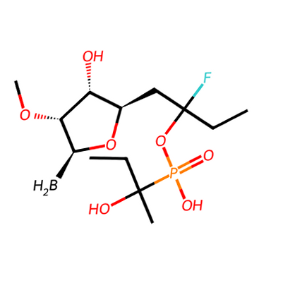 B[C@@H]1O[C@H](CC(F)(CC)OP(=O)(O)C(C)(O)CC)[C@@H](O)[C@H]1OC